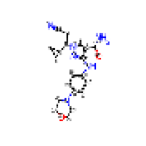 N#CCC(C1CC1)n1cc(C(N)=O)c(Nc2ccc(N3CCOCC3)cc2)n1